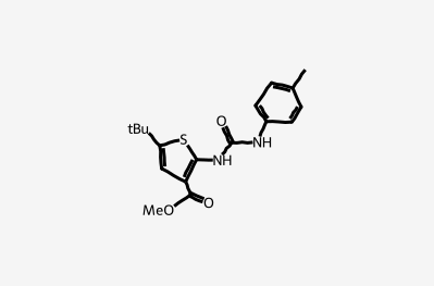 COC(=O)c1cc(C(C)(C)C)sc1NC(=O)Nc1ccc(C)cc1